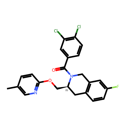 Cc1ccc(OC[C@@H]2Cc3ccc(F)cc3CN2C(=O)c2ccc(Cl)c(Cl)c2)nc1